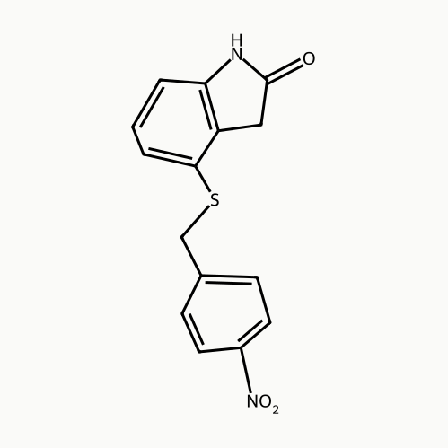 O=C1Cc2c(cccc2SCc2ccc([N+](=O)[O-])cc2)N1